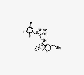 CC(=O)N[C@@H](Cc1cc(F)cc(F)c1F)[C@H](O)CN[C@H]1CC2(CCC2)Oc2ncc(CC(C)(C)C)cc21